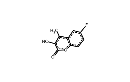 Cc1c(C#N)c(=O)oc2ccc(F)cc12